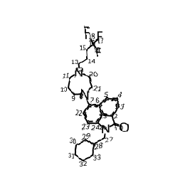 O=C1c2cccc3c(N4CCCN(CCCC(F)(F)F)CC4)ccc(c23)N1CC1CCCCC1